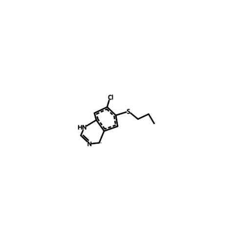 CCCSc1cc2c(cc1Cl)NC=N[CH]2